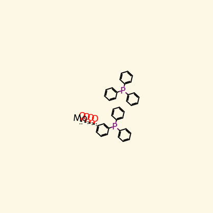 [C]=O.[C]=O.[C]=O.[C]=O.[Mo].c1ccc(P(c2ccccc2)c2ccccc2)cc1.c1ccc(P(c2ccccc2)c2ccccc2)cc1